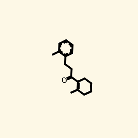 CC1=C(C(=O)CCc2ccccc2C)CCCC1